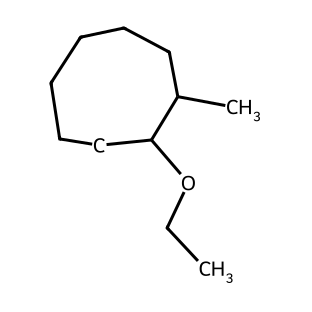 CCOC1CCCCCCC1C